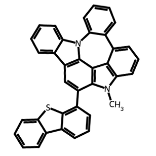 Cn1c2cccc3c4ccccc4n4c5ccccc5c5cc(-c6cccc7c6sc6ccccc67)c1c(c32)c54